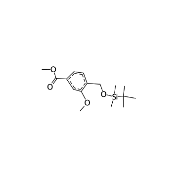 COC(=O)c1ccc(CO[Si](C)(C)C(C)(C)C)c(OC)c1